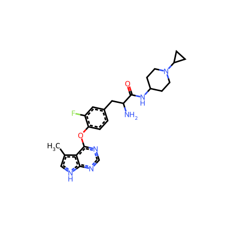 Cc1c[nH]c2ncnc(Oc3ccc(CC(N)C(=O)NC4CCN(C5CC5)CC4)cc3F)c12